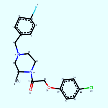 CCC(C)C1CN(Cc2ccc(F)cc2)CCN1C(=O)COc1ccc(Cl)cc1